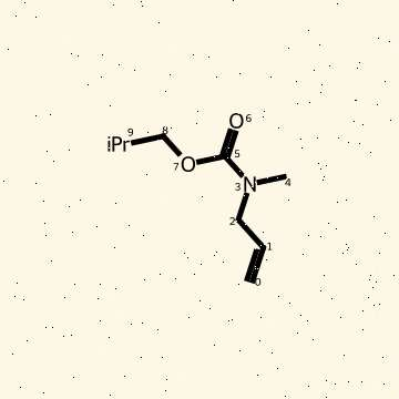 C=CCN(C)C(=O)OCC(C)C